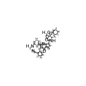 COC(=O)C(Cc1ccccc1)NC(=O)c1csc2c(=O)n(Cc3ccccc3C#N)c(N3CCCC(N)C3)nc12